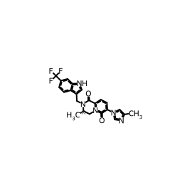 Cc1cn(-c2ccc3n(c2=O)C[C@@H](C)N(Cc2c[nH]c4cc(C(F)(F)F)ccc24)C3=O)cn1